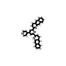 c1ccc2cc3nc(-c4cc(-c5ccncc5)cc(-c5ccc6cc7ccccc7cc6n5)n4)ccc3cc2c1